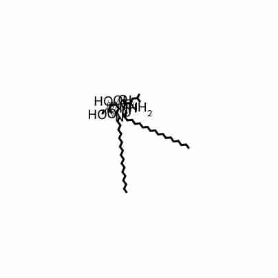 CCCCCCCCCCCCCCCCCCN(C(=O)CCCCCCCCCCCCCCCCC)[C@@H]1O[C@H](CO)[C@H](O)[C@H](O)[C@H]1NC(=O)[C@@H](N)CC(C)C